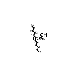 CC(O)O.CCCCCCCCCCCC